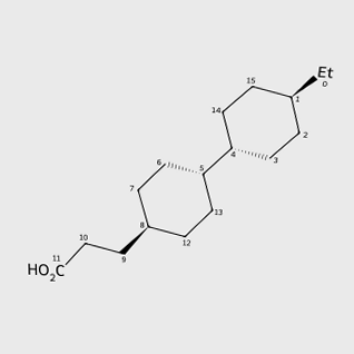 CC[C@H]1CC[C@H]([C@H]2CC[C@H](CCC(=O)O)CC2)CC1